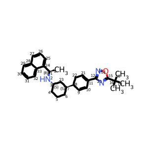 C[C@@H](N[C@H]1CCC[C@H](C2C=CC(c3noc(C(C)(C)C)n3)=CC2)C1)c1cccc2ccccc12